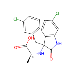 C[C@H](NC1(Cc2cccc(Cl)c2)C(=O)Nc2cc(Cl)ccc21)C(=O)O